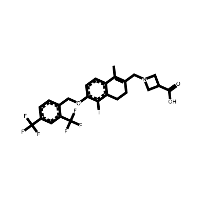 CC1=C(CN2CC(C(=O)O)C2)CCc2c1ccc(OCc1ccc(C(F)(F)F)cc1C(F)(F)F)c2I